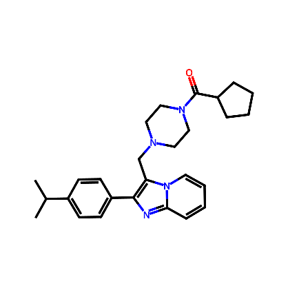 CC(C)c1ccc(-c2nc3ccccn3c2CN2CCN(C(=O)C3CCCC3)CC2)cc1